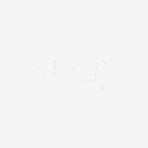 N[C@@H]1CC(CN2CCCC2)CC[C@@H]1N